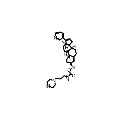 CN(CCCN1CCNCC1)C(=O)ON=C1C=C2CC[C@H]3[C@H](CC[C@]4(C)C(c5cccnc5)=CC[C@@H]34)[C@@]2(C)CC1